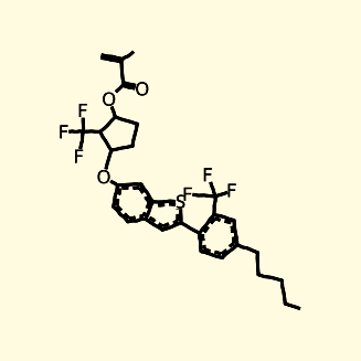 C=C(C)C(=O)OC1CCC(Oc2ccc3cc(-c4ccc(CCCCC)cc4C(F)(F)F)sc3c2)C1C(F)(F)F